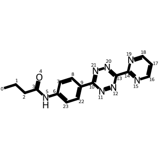 CCCC(=O)Nc1ccc(-c2nnc(-c3ncccn3)nn2)cc1